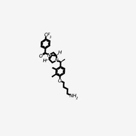 Cc1c(OCCCCN)ccc([C@H](C)N2C[C@@H]3C[C@H]2CN3C(=O)c2ccc(C(F)(F)F)cc2)c1C